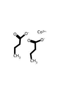 CCCC(=O)[O-].CCCC(=O)[O-].[Co+2]